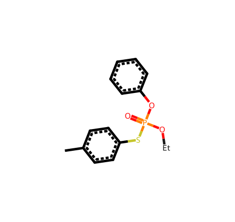 CCOP(=O)(Oc1ccccc1)Sc1ccc(C)cc1